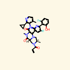 C=CC(=O)N1C[C@@H]2C(=O)N(C)c3c(c4cc(F)c(-c5c(O)cccc5F)nc4n(-c4c(C)ccnc4C4CC4)c3=O)N2C[C@H]1C